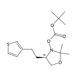 CC(C)(C)OC(=O)ON1[C@H](CCc2ccsc2)COC1(C)C